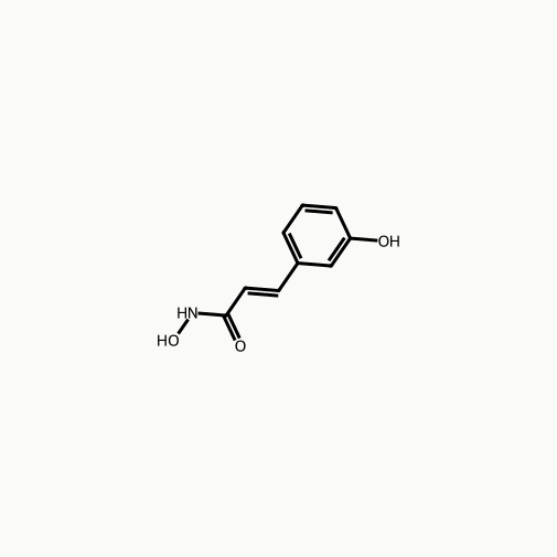 O=C(/C=C/c1cccc(O)c1)NO